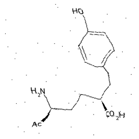 CC(=O)[C@@H](N)CC[C@@H](Cc1ccc(O)cc1)C(=O)O